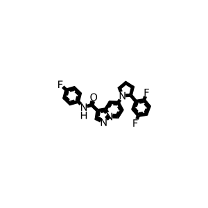 O=C(Nc1ccc(F)cc1)c1cnn2ccc(N3CCCC3c3cc(F)ccc3F)cc12